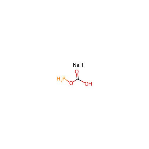 O=C(O)OP.[NaH]